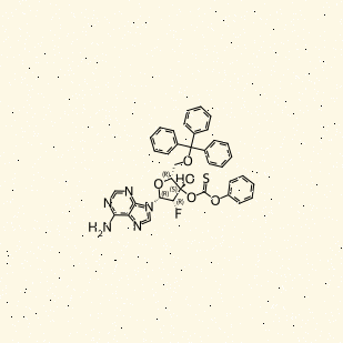 Nc1ncnc2c1ncn2[C@@H]1O[C@H](COC(c2ccccc2)(c2ccccc2)c2ccccc2)[C@](O)(OC(=S)Oc2ccccc2)[C@@H]1F